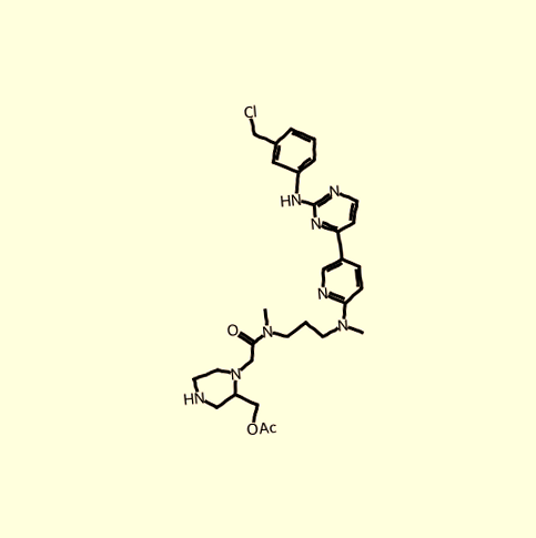 CC(=O)OCC1CNCCN1CC(=O)N(C)CCCN(C)c1ccc(-c2ccnc(Nc3cccc(CCl)c3)n2)cn1